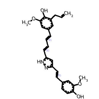 C=CCc1cc(/C=C/C=C/c2cc(/C=C/c3ccc(O)c(OC)c3)n[nH]2)cc(OC)c1O